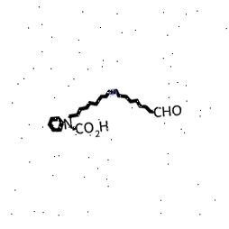 O=CCCCCCCC/C=C\CCCCCCCCN(CC(=O)O)c1ccccc1